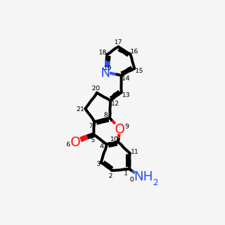 Nc1ccc2c(=O)c3c(oc2c1)/C(=C/c1ccccn1)CC3